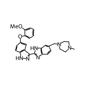 COc1ccccc1Oc1ccc2[nH]nc(-c3nc4ccc(CN5CCN(C)CC5)cc4[nH]3)c2c1